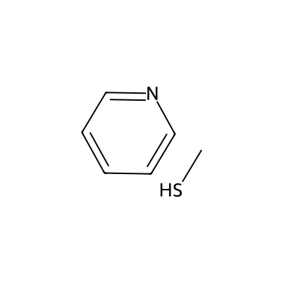 CS.c1ccncc1